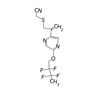 C=C(CSCC#N)c1cnc(OCC(F)(F)C(C)(F)F)cn1